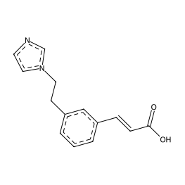 O=C(O)C=Cc1cccc(CCn2ccnc2)c1